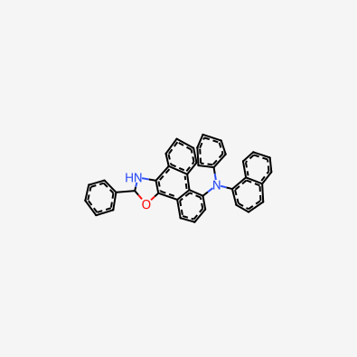 c1ccc(C2Nc3c(c4cccc(N(c5ccccc5)c5cccc6ccccc56)c4c4ccccc34)O2)cc1